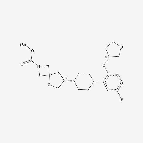 CC(C)(C)OC(=O)N1CC2(C[C@H](N3CCC(c4cc(F)ccc4O[C@@H]4CCOC4)CC3)CO2)C1